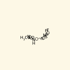 Cc1cc(CC(=O)N[C@H]2CC[C@H](CCN3CCc4sc(N5CCCC(F)(F)C5)nc4C3)CC2)on1